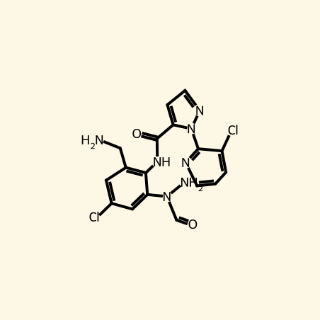 NCc1cc(Cl)cc(N(N)C=O)c1NC(=O)c1ccnn1-c1ncccc1Cl